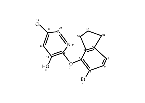 CCc1ccc2c(c1Oc1nnc(Cl)cc1O)CCC2